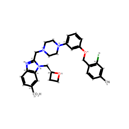 N#Cc1ccc(COc2cccc(N3CCN(Cc4nc5ccc(C(=O)O)cc5n4C[C@@H]4CCO4)CC3)c2)c(F)c1